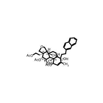 CC(=O)OCC[C@]12COC[C@H]1[C@]1(C)CC[C@@H]3[C@@](C)(C1[C@H](OC(C)=O)[C@@H]2OC(C)=O)[C@H](OC(C)=O)C=C(C)[C@]3(O)CCc1ccc2ccccc2c1